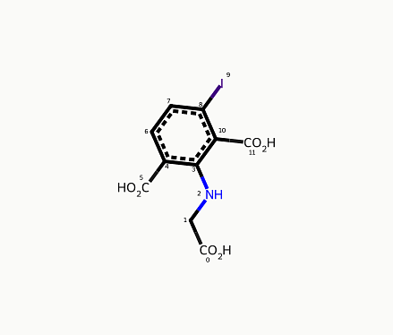 O=C(O)CNc1c(C(=O)O)ccc(I)c1C(=O)O